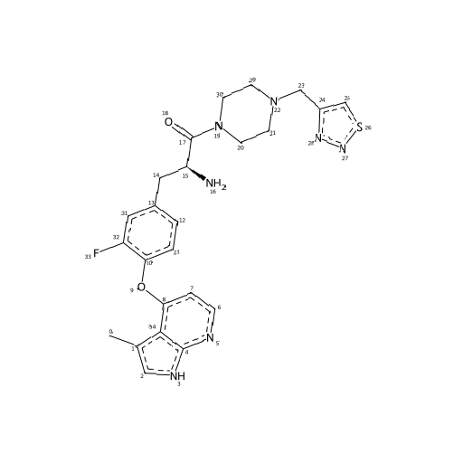 Cc1c[nH]c2nccc(Oc3ccc(C[C@H](N)C(=O)N4CCN(Cc5csnn5)CC4)cc3F)c12